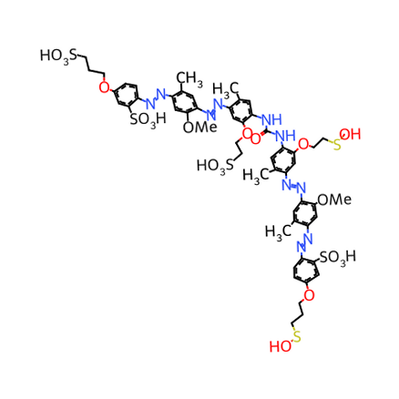 COc1cc(N=Nc2ccc(OCCCSO)cc2S(=O)(=O)O)c(C)cc1N=Nc1cc(OCCSO)c(NC(=O)Nc2cc(C)c(N=Nc3cc(C)c(N=Nc4ccc(OCCCS(=O)(=O)O)cc4S(=O)(=O)O)cc3OC)cc2OCCS(=O)(=O)O)cc1C